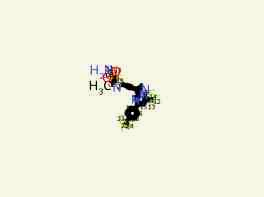 Cc1nc(C#Cc2cnn3c(C(F)(F)F)cc(-c4ccc(C(F)(F)F)cc4)nc23)sc1S(N)(=O)=O